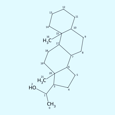 CC(O)C1CCC2C3CCC4CCCCC4(C)C3CCC12C